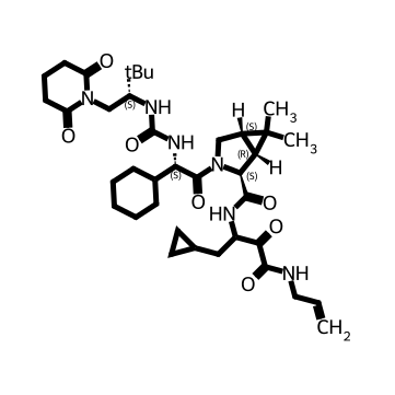 C=CCNC(=O)C(=O)C(CC1CC1)NC(=O)[C@@H]1[C@@H]2[C@H](CN1C(=O)[C@@H](NC(=O)N[C@H](CN1C(=O)CCCC1=O)C(C)(C)C)C1CCCCC1)C2(C)C